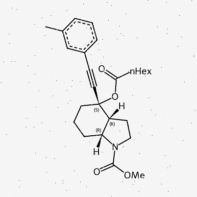 CCCCCCC(=O)O[C@@]1(C#Cc2cccc(C)c2)CCC[C@@H]2[C@H]1CCN2C(=O)OC